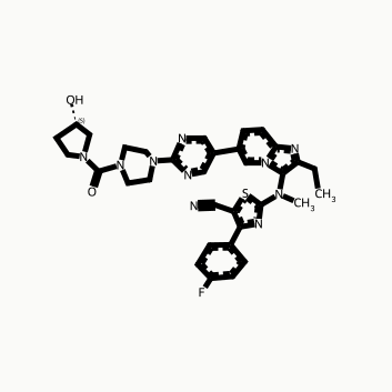 CCc1nc2ccc(-c3cnc(N4CCN(C(=O)N5CC[C@H](O)C5)CC4)nc3)cn2c1N(C)c1nc(-c2ccc(F)cc2)c(C#N)s1